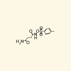 Cc1ccc(S(=O)(=O)ONC(=O)CCC(N)=O)cc1